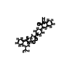 CC(C)CCN1C(=O)C(CC(=O)N2CCC(c3cc4ccccc4[nH]c3=O)CC2)SC1c1ccccc1